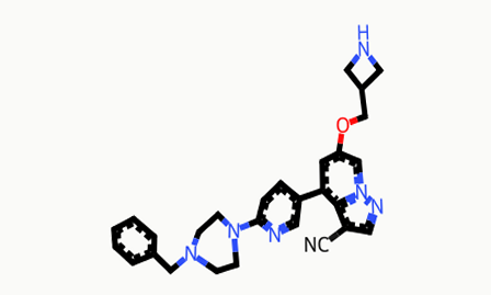 N#Cc1cnn2cc(OCC3CNC3)cc(-c3ccc(N4CCN(Cc5ccccc5)CC4)nc3)c12